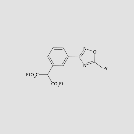 CCOC(=O)C(C(=O)OCC)c1cccc(-c2noc(C(C)C)n2)c1